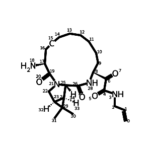 C=CCNC(=O)C(=O)[C@@H]1CCCCCCCC[C@H](N)C(=O)N2C[C@H]3[C@@H]([C@H]2C(=O)N1)C3(C)C